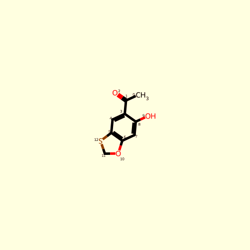 CC(=O)c1cc2c(cc1O)OCS2